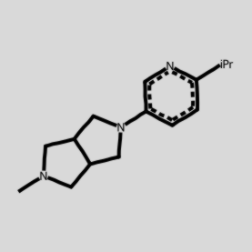 CC(C)c1ccc(N2CC3CN(C)CC3C2)cn1